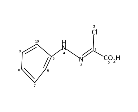 O=C(O)C(Cl)=NNc1ccccc1